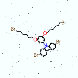 BrCCCCCCOc1cc(OCCCCCCBr)cc(-n2c3cc(Br)ccc3c3ccc(Br)cc32)c1